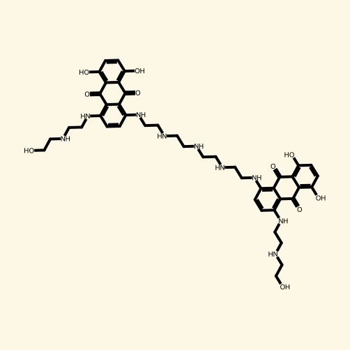 O=C1c2c(O)ccc(O)c2C(=O)c2c(NCCNCCNCCNCCNc3ccc(NCCNCCO)c4c3C(=O)c3c(O)ccc(O)c3C4=O)ccc(NCCNCCO)c21